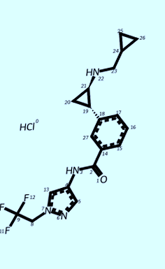 Cl.O=C(Nc1cnn(CC(F)(F)F)c1)c1cccc([C@@H]2C[C@H]2NCC2CC2)c1